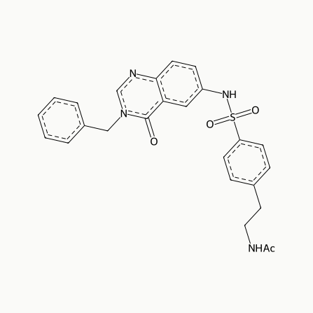 CC(=O)NCCc1ccc(S(=O)(=O)Nc2ccc3ncn(Cc4ccccc4)c(=O)c3c2)cc1